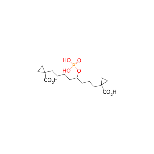 O=C(O)C1(CCCCC(CCCC2(C(=O)O)CC2)OP(=O)(O)O)CC1